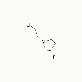 F[C@H]1CCN(CCCl)C1